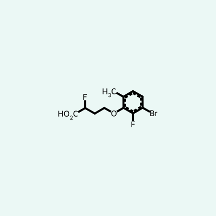 Cc1ccc(Br)c(F)c1OCCC(F)C(=O)O